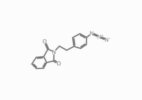 [N-]=[N+]=Nc1ccc(CCN2C(=O)c3ccccc3C2=O)cc1